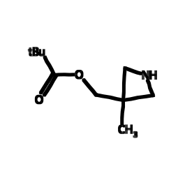 CC1(COC(=O)C(C)(C)C)CNC1